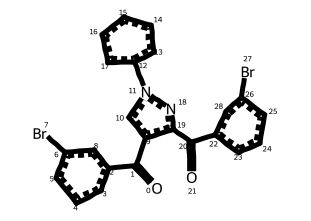 O=C(c1cccc(Br)c1)c1cn(-c2ccccc2)nc1C(=O)c1cccc(Br)c1